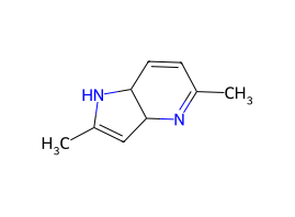 CC1=CC2N=C(C)C=CC2N1